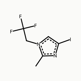 Cc1nc(I)cn1CC(F)(F)F